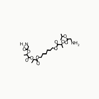 CC(COC(C)C(=O)OCCCCCCOC(=O)C(C)OC(=O)C(C)OC(=O)CN)OC(=O)CN